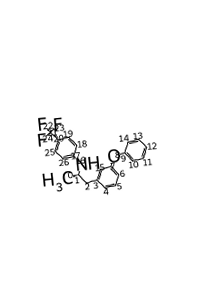 C[C@H](Cc1cccc(Oc2ccccc2)c1)Nc1ccc(C(F)(F)F)cc1